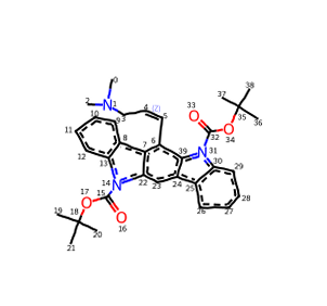 CN(C)C/C=C\c1c2c3ccccc3n(C(=O)OC(C)(C)C)c2cc2c3ccccc3n(C(=O)OC(C)(C)C)c12